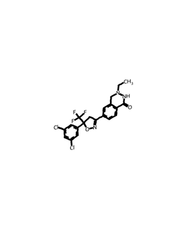 CCN1Cc2cc(C3=NOC(c4cc(Cl)cc(Cl)c4)(C(F)(F)F)C3)ccc2C(=O)N1